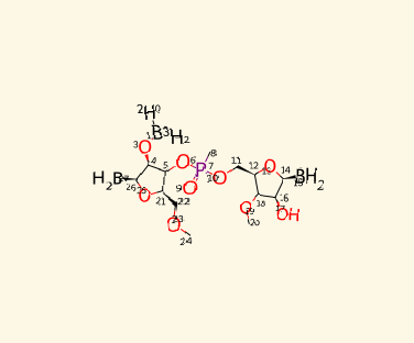 [2H]B([3H])O[C@H]1C(OP(C)(=O)OC[C@H]2O[C@@H](B)[C@@H](O)C2OC)[C@@H](COC)O[C@H]1B